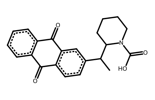 CC(c1ccc2c(c1)C(=O)c1ccccc1C2=O)C1CCCCN1C(=O)O